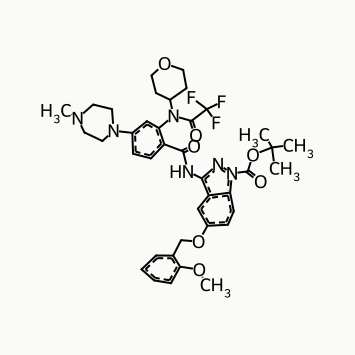 COc1ccccc1COc1ccc2c(c1)c(NC(=O)c1ccc(N3CCN(C)CC3)cc1N(C(=O)C(F)(F)F)C1CCOCC1)nn2C(=O)OC(C)(C)C